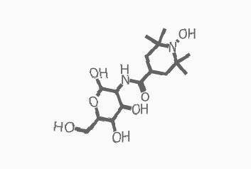 CC1(C)CC(C(=O)NC2C(O)OC(CO)C(O)C2O)CC(C)(C)N1O